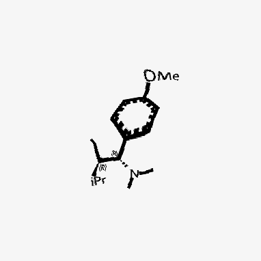 COc1ccc([C@@H]([C@H](C)C(C)C)N(C)C)cc1